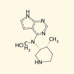 C[C@@H]1CCNC[C@@H]1N(C)c1ncnc2[nH]ccc12.Cl